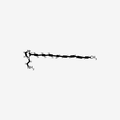 CC#CC#CC#CC#CC#CC#CC#CC#Cc1nccn1CCN